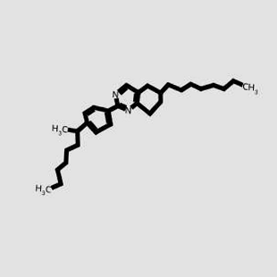 CCCCCCCCC1CCc2nc(-c3ccc(C(C)CCCCCC)cc3)ncc2C1